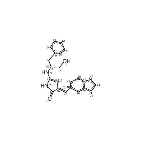 O=C1NC(N[C@@H](CO)Cc2ccccc2)=N/C1=C\c1ccc2ncsc2c1